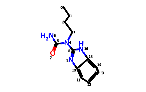 CCCCN(C(N)=O)c1nc2ccccc2[nH]1